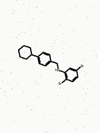 Brc1ccc(Br)c(NCc2ccc(C3CCCCC3)cc2)c1